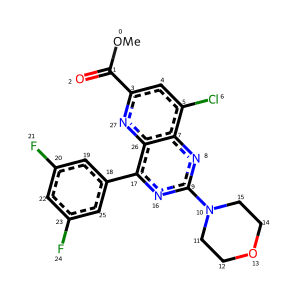 COC(=O)c1cc(Cl)c2nc(N3CCOCC3)nc(-c3cc(F)cc(F)c3)c2n1